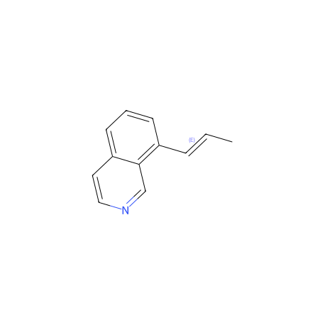 C/C=C/c1cccc2ccncc12